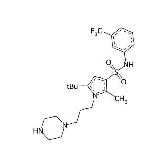 Cc1c(S(=O)(=O)Nc2cccc(C(F)(F)F)c2)cc(C(C)(C)C)n1CCCN1CCNCC1